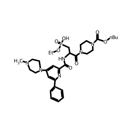 CCCCOC(=O)N1CCN(C(=O)C(CP(=O)(O)OCC)NC(=O)c2cc(N3CCN(C)CC3)cc(-c3ccccc3)n2)CC1